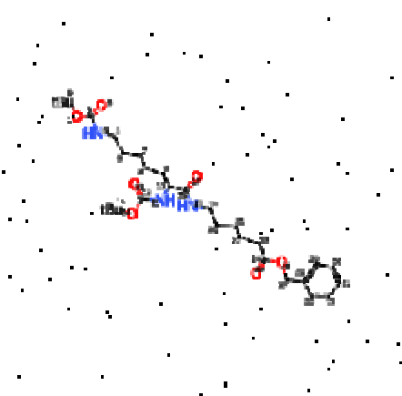 CC(C)(C)OC(=O)NCCCCC[C@H](NC(=O)OC(C)(C)C)C(=O)NCCCCCC(=O)OCc1ccccc1